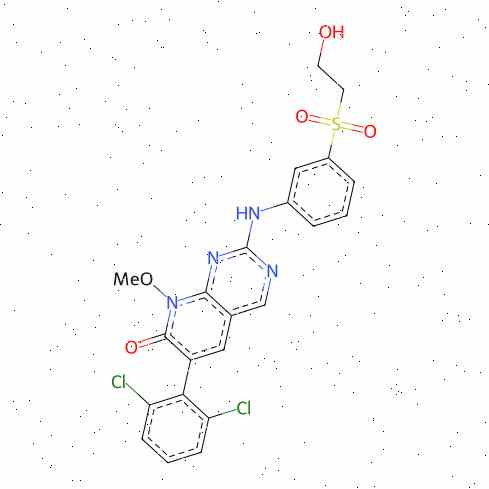 COn1c(=O)c(-c2c(Cl)cccc2Cl)cc2cnc(Nc3cccc(S(=O)(=O)CCO)c3)nc21